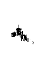 Cc1c(I)sc2c(N3CCOCC3)nc(-c3cnc(N)nc3)nc12